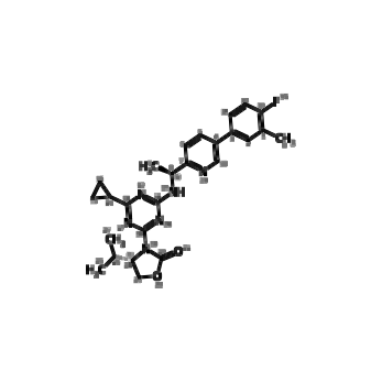 Cc1cc(-c2ccc([C@H](C)Nc3nc(C4CC4)nc(N4C(=O)OC[C@@H]4C(C)C)n3)nc2)ccc1F